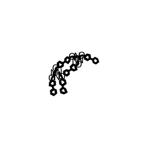 c1ccc(-c2ccc(Oc3nc(Oc4ccc(-c5ccccc5)cc4)nc(Oc4ccc(-c5ccc(Oc6nc(Oc7ccc(-c8ccccc8)cc7)nc(Oc7ccc(C8CCCCC8)cc7)n6)cc5)cc4)n3)cc2)cc1